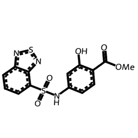 COC(=O)c1ccc(NS(=O)(=O)c2cccc3nsnc23)cc1O